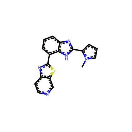 Cn1cccc1-c1nc2cccc(-c3nc4ccncc4s3)c2[nH]1